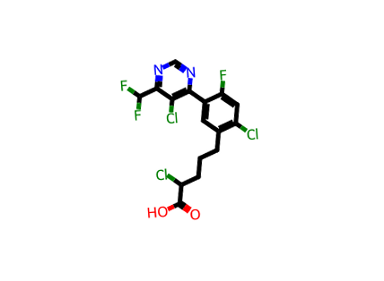 O=C(O)C(Cl)CCCc1cc(-c2ncnc(C(F)F)c2Cl)c(F)cc1Cl